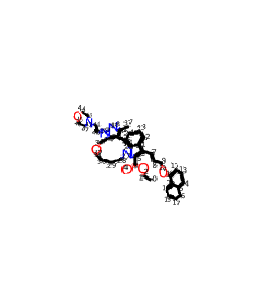 CCOC(=O)c1c(CCCOc2cccc3ccccc23)c2cccc3c2n1CCCCOCc1c-3c(C)nn1CCN1CCOCC1